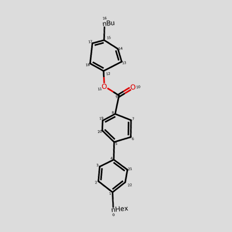 CCCCCCc1ccc(-c2ccc(C(=O)Oc3ccc(CCCC)cc3)cc2)cc1